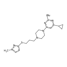 Cn1ccc(SCCCN2CCN(c3cc(C4CC4)nc(C(C)(C)C)n3)CC2)n1